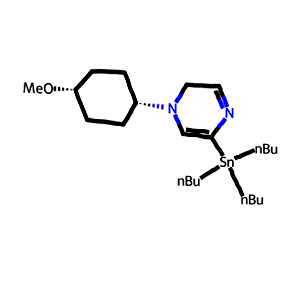 CCC[CH2][Sn]([CH2]CCC)([CH2]CCC)[C]1=CN([C@H]2CC[C@@H](OC)CC2)CC=N1